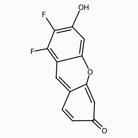 O=c1ccc2cc3c(F)c(F)c(O)cc3oc-2c1